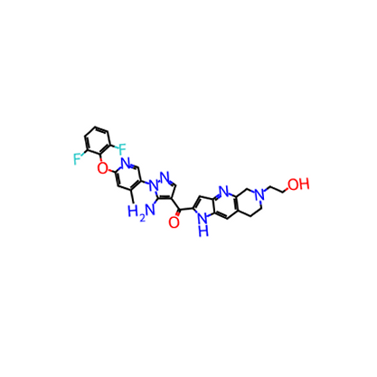 Cc1cc(Oc2c(F)cccc2F)ncc1-n1ncc(C(=O)c2cc3nc4c(cc3[nH]2)CCN(CCO)C4)c1N